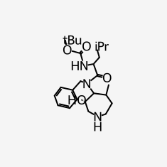 CC(C)CC(NC(=O)OC(C)(C)C)C(=O)N(Cc1ccccc1)C1C(C)CCNC[C@@H]1O